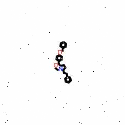 c1ccc(CCC2CCC3C(c4ccc(OCc5ccccc5)cc4)OCCN23)cc1